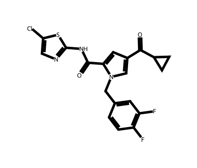 O=C(Nc1ncc(Cl)s1)c1cc(C(=O)C2CC2)cn1Cc1ccc(F)c(F)c1